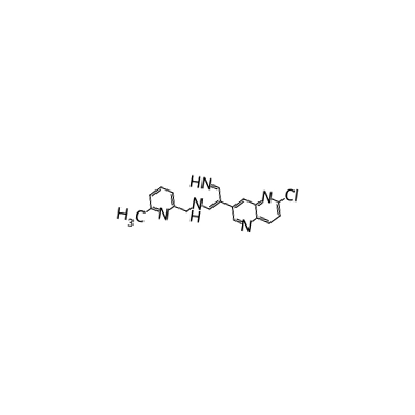 Cc1cccc(CN/C=C(\C=N)c2cnc3ccc(Cl)nc3c2)n1